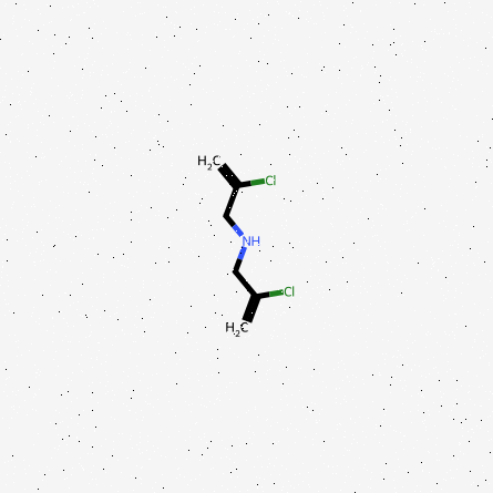 C=C(Cl)CNCC(=C)Cl